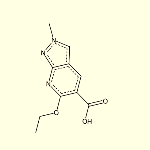 CCOc1nc2nn(C)cc2cc1C(=O)O